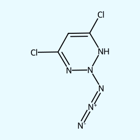 [N-]=[N+]=NN1N=C(Cl)C=C(Cl)N1